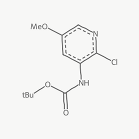 COc1cnc(Cl)c(NC(=O)OC(C)(C)C)c1